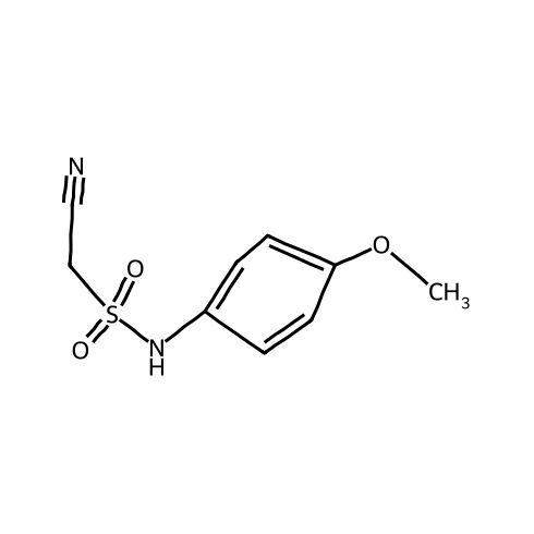 COc1ccc(NS(=O)(=O)CC#N)cc1